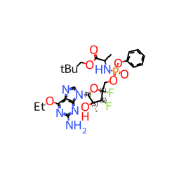 CCOc1nc(N)nc2c1ncn2[C@@H]1O[C@](F)(COP(=O)(NC(C)C(=O)OCC(C)(C)C)Oc2ccccc2)[C@@H](F)[C@@]1(C)O